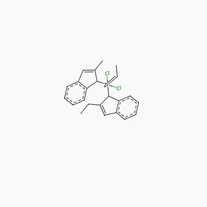 C[CH]=[Zr]([Cl])([Cl])([CH]1C(C)=Cc2ccccc21)[CH]1C(CC)=Cc2ccccc21